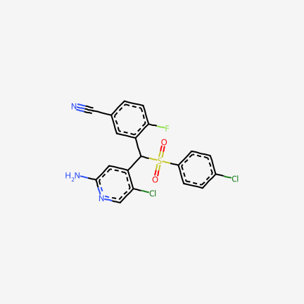 N#Cc1ccc(F)c(C(c2cc(N)ncc2Cl)S(=O)(=O)c2ccc(Cl)cc2)c1